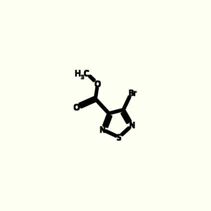 COC(=O)c1nsnc1Br